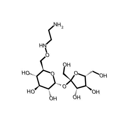 NCCNOC[C@H]1O[C@H](O[C@]2(CO)O[C@H](CO)[C@@H](O)[C@@H]2O)[C@H](O)[C@@H](O)[C@@H]1O